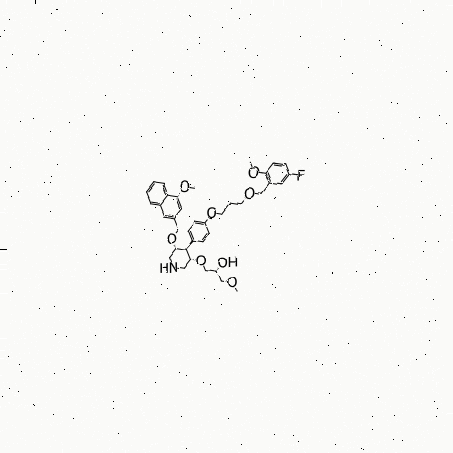 COC[C@@H](O)CO[C@@H]1CNC[C@H](OCc2cc(OC)c3ccccc3c2)[C@H]1c1ccc(OCCCOCc2cc(F)ccc2OC)cc1